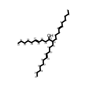 CCCCCC=CCCCC(CCCC=CCCCCCC)C(O)CCC=CCCCCC